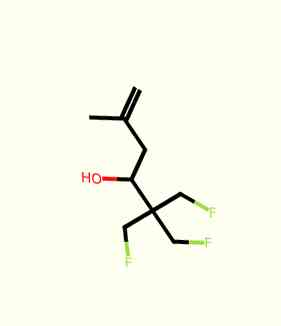 C=C(C)CC(O)C(CF)(CF)CF